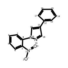 O=[N+]([O-])c1ccccc1-n1cc(-c2ccccc2)cn1